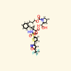 O=C(OCCCc1ccccc1C1CC1(NS(=O)(=O)c1ccc(-c2cc(C(F)(F)F)on2)s1)C(=O)O)N1CCC[C@H]1CO